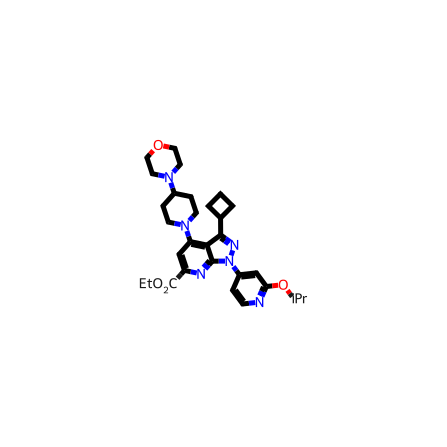 CCOC(=O)c1cc(N2CCC(N3CCOCC3)CC2)c2c(C3CCC3)nn(-c3ccnc(OC(C)C)c3)c2n1